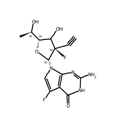 C#C[C@@]1(F)C(O)[C@@H]([C@@H](C)O)O[C@H]1n1cc(F)c2c(=O)[nH]c(N)nc21